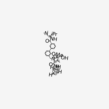 COc1c(CN2O[C@@H](CO)[C@@H](C)[C@H]2C(=O)N[C@H]2C[C@H]3C[C@@H]([C@@H]2C)C3(C)C)cccc1-c1cccc(C(=O)N[C@@H](CN(C)C)C(C)C)c1